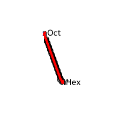 CCCCCCCC/C=C\CCCCCCCCOCCOCCOCCOCCOCCOCCOCCOCCOCCOCCOCCOCCOCCOCCOCCOCCOCCOCCOCCOCCOC(=O)CCN1CC[N+](C)(CCCCCC)CC1